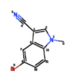 Cn1cc(C#N)c2cc(Br)ccc21